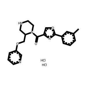 Cc1cccc(-c2nc(C(=O)N3CCNCC3COc3cccnc3)co2)c1.Cl.Cl